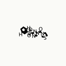 O=C(N1CCSC1)n1cnc(S(=O)(=O)[C@@H]2C[C@@H]3CC[C@H]2C3)n1